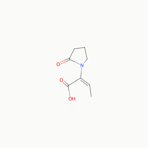 CC=C(C(=O)O)N1CCCC1=O